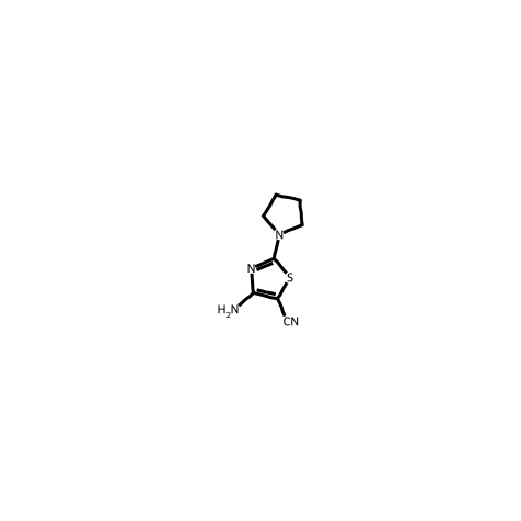 N#Cc1sc(N2CCCC2)nc1N